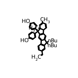 C=Cc1ccc2c(c1)C(CCCC)(CCCC)c1cc3c(cc1-2)C(c1ccc(O)cc1)(c1ccc(O)cc1)C1(C)C=C(C)C=CC31